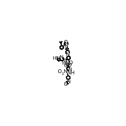 CS(C)(=O)=NC1CCC(CNc2ncc(S(=O)(=O)NC(=O)c3ccc(N4CCC5(CC4)CC(N4CCOC[C@@H]4c4ccccc4C4CC4)C5)cc3Oc3cnc4[nH]ccc4c3)cc2[N+](=O)[O-])CC1